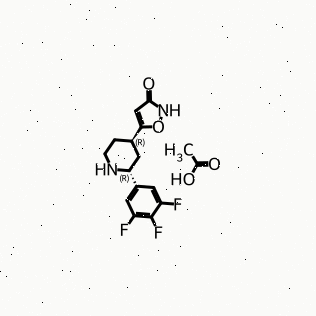 CC(=O)O.O=c1cc([C@@H]2CCN[C@@H](c3cc(F)c(F)c(F)c3)C2)o[nH]1